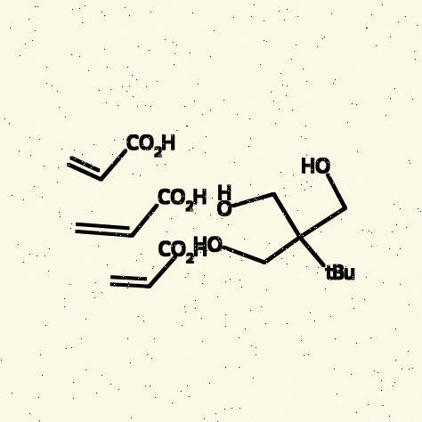 C=CC(=O)O.C=CC(=O)O.C=CC(=O)O.CC(C)(C)C(CO)(CO)CO